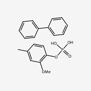 COc1cc(C)ccc1OP(=O)(O)O.c1ccc(-c2ccccc2)cc1